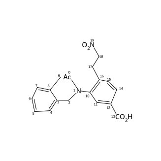 CC(=O)N(Cc1ccccc1C)c1cc(C(=O)O)ccc1CC[N+](=O)[O-]